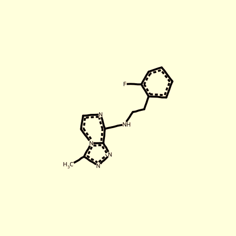 Cc1nnc2c(NCCc3ccccc3F)nccn12